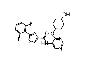 O=C(Nc1cncnc1OC1CCC(O)CC1)c1csc(-c2c(F)cccc2F)n1